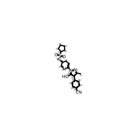 Cc1nn(C2=CCC(=NS(=O)(=O)C3CCCC3)C=N2)c(O)c1-c1ccc(C#N)cc1